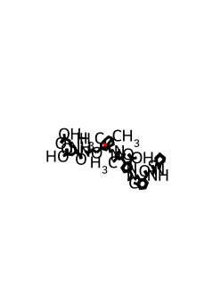 Cc1c(-c2ccc(N3CCc4cccc(C(=O)Nc5nc6ccccc6s5)c4C3)nc2C(=O)O)cnn1CC12CC3(C)CC(C)(C1)CC(OCCNC(=O)C(CC(=O)O)NCCC(=O)O)(C3)C2